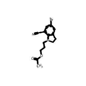 CC(=O)OCCCN1CCc2cc(Br)cc(C#N)c21